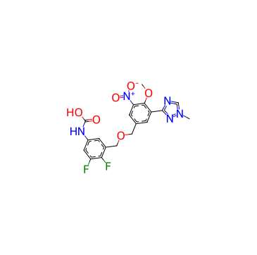 COc1c(-c2ncn(C)n2)cc(COCc2cc(NC(=O)O)cc(F)c2F)cc1[N+](=O)[O-]